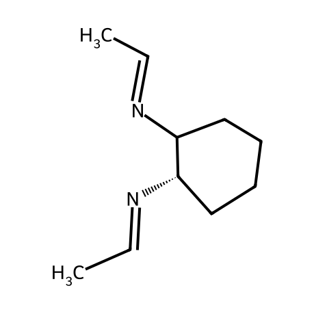 C/C=N/C1CCCC[C@@H]1/N=C/C